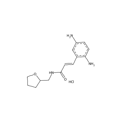 Cl.Nc1ccc(N)c(C=CC(=O)NCC2CCCO2)c1